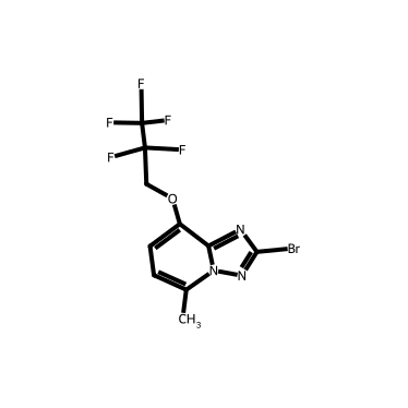 Cc1ccc(OCC(F)(F)C(F)(F)F)c2nc(Br)nn12